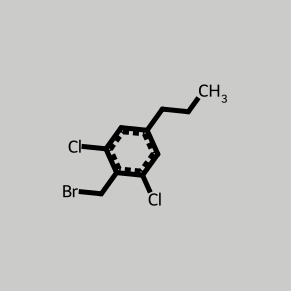 CCCc1cc(Cl)c(CBr)c(Cl)c1